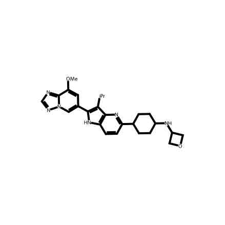 COc1cc(-c2[nH]c3ccc(C4CCC(NC5COC5)CC4)nc3c2C(C)C)cn2ncnc12